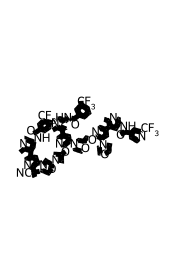 Cc1ncc(NC(=O)c2ccnc(C(F)(F)F)c2)cc1-c1cnc(OCC2CN(c3cc(-c4cc(NC(=O)c5cccc(C(F)(F)F)c5)cnc4C)cnc3OC3CN(C4CN(c5cc(-c6cc(NC(=O)c7cccc(C(F)(F)F)c7)cnc6C)cnc5C(C)(C)C#N)CCO4)C3)CCO2)c(N2CCOCC2)c1